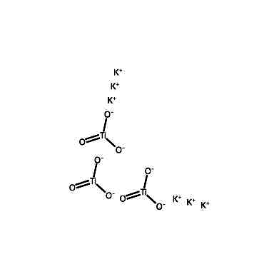 [K+].[K+].[K+].[K+].[K+].[K+].[O]=[Ti]([O-])[O-].[O]=[Ti]([O-])[O-].[O]=[Ti]([O-])[O-]